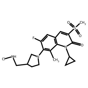 Cc1c(N2CCC(CNCl)C2)c(F)cc2cc(S(C)(=O)=O)c(=O)n(C3CC3)c12